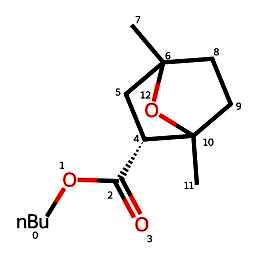 CCCCOC(=O)[C@@H]1CC2(C)CCC1(C)O2